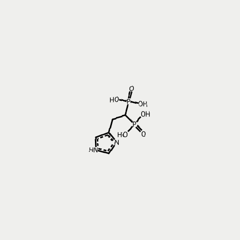 O=P(O)(O)C(Cc1c[nH]cn1)P(=O)(O)O